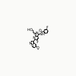 COc1ccn2ncc(-c3nc4c(cc3F)c(NC(=O)c3cccc(F)c3)nn4CCO)c2c1